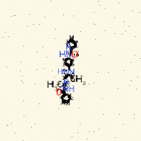 C=c1nc(-c2ccc(NC(=O)c3ccccn3)cc2)[nH]/c1=C/N=C(\C)NC(=O)c1ccccc1